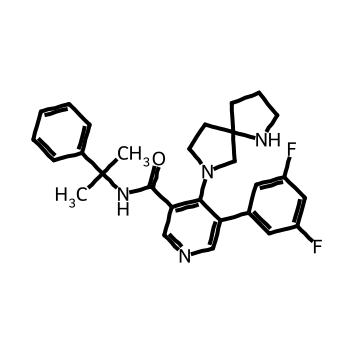 CC(C)(NC(=O)c1cncc(-c2cc(F)cc(F)c2)c1N1CCC2(CCCN2)C1)c1ccccc1